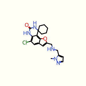 Cn1nccc1CNCc1cc2cc(Cl)c3c(c2o1)C1(CCCCC1)NC(=O)N3